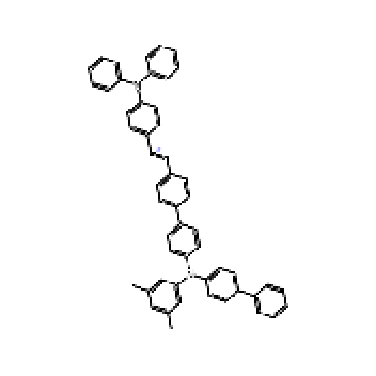 Cc1cc(C)cc(N(c2ccc(-c3ccccc3)cc2)c2ccc(-c3ccc(/C=C/c4ccc(N(c5ccccc5)c5ccccc5)cc4)cc3)cc2)c1